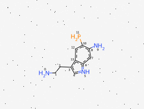 NCCc1c[nH]c2cc(N)c(P)cc12